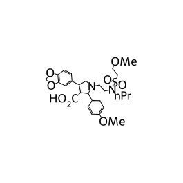 CCCN(CCN1CC(c2ccc3c(c2)OCO3)C(C(=O)O)C1c1ccc(OC)cc1)S(=O)(=O)CCOC